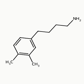 Cc1ccc(CCCCN)cc1C